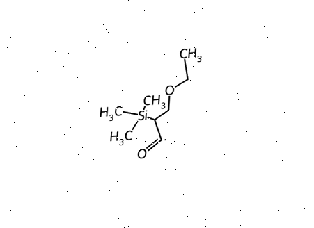 CCOCC([C]=O)[Si](C)(C)C